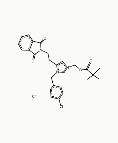 CC(C)(C)C(=O)OC[n+]1cc(CCN2C(=O)c3ccccc3C2=O)n(Cc2ccc(Cl)cc2)c1.[Cl-]